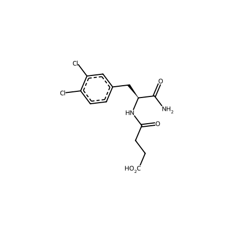 NC(=O)[C@H](Cc1ccc(Cl)c(Cl)c1)NC(=O)CCC(=O)O